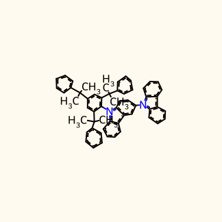 CC(C)(c1ccccc1)c1cc(C(C)(C)c2ccccc2)c(-n2c3ccccc3c3cc(-n4c5ccccc5c5ccccc54)ccc32)c(C(C)(C)c2ccccc2)c1